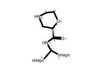 CCCCCCCC(CCCCCCC)NC(=O)[C@H]1CNCCO1